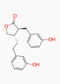 O=C1OC[C@@H](CCc2cccc(O)c2)[C@@H]1Cc1cccc(O)c1